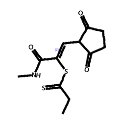 CCC(=S)S/C(=C\C1C(=O)CCC1=O)C(=O)NC